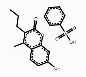 CCCc1c(C)c2ccc(O)cc2oc1=O.O=S(=O)(O)c1ccccc1